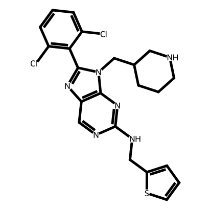 Clc1cccc(Cl)c1-c1nc2cnc(NCc3cccs3)nc2n1CC1CCCNC1